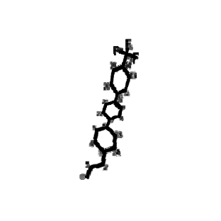 CCCC1CCC(C2CC=C(C3CCC(C(F)(F)F)CC3)CC2)CC1